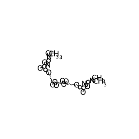 CCN(CC)c1ccc2nc3c4cc(OCCCCCC(=O)OC(=O)CCC(=O)OC(=O)CCCCCOc5ccc6c(=O)cc7oc8cc(N(CC)CC)ccc8nc-7c6c5)ccc4c(=O)cc-3oc2c1